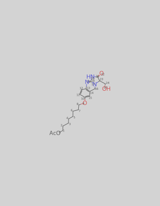 CC(=O)OCCCCCCCCOc1ccc2c(c1)CN1C(=N2)NC(=O)C1CO